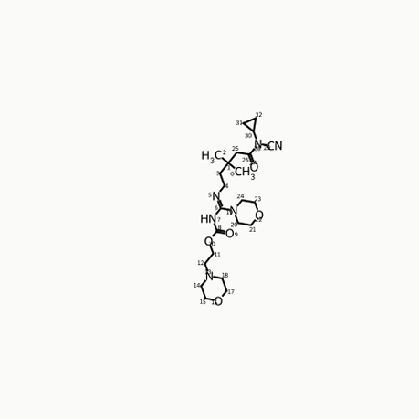 CC(C)(CCN=C(NC(=O)OCCN1CCOCC1)N1CCOCC1)CC(=O)N(C#N)C1CC1